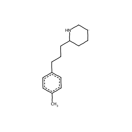 Cc1ccc(CCCC2CC[CH]CN2)cc1